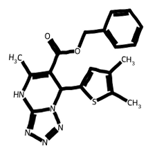 CC1=C(C(=O)OCc2ccccc2)C(c2cc(C)c(C)s2)n2nnnc2N1